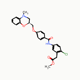 COC(=O)Cc1cc(NC(=O)c2ccc(OC[C@@H]3CN(C)c4ccccc4O3)cc2)ccc1Cl